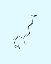 C\C=C/C(Br)=C\C=C\C=O